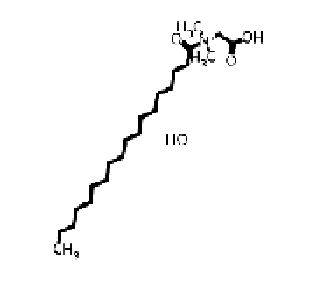 CCCCCCCCCCCCCCCCCC(=O)[N+](C)(C)CC(=O)O.[OH-]